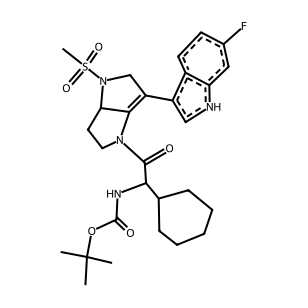 CC(C)(C)OC(=O)NC(C(=O)N1CCC2C1=C(c1c[nH]c3cc(F)ccc13)CN2S(C)(=O)=O)C1CCCCC1